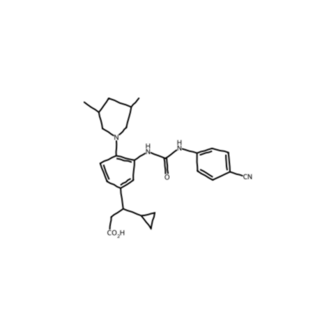 CC1CC(C)CN(c2ccc(C(CC(=O)O)C3CC3)cc2NC(=O)Nc2ccc(C#N)cc2)C1